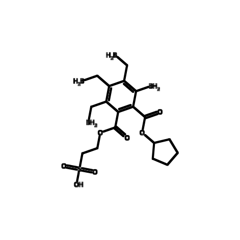 BCc1c(B)c(C(=O)OC2CCCC2)c(C(=O)OCCS(=O)(=O)O)c(CB)c1CB